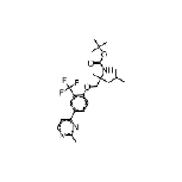 Cc1nccc(-c2ccc(OCC(C)(CC(C)C)NC(=O)OC(C)(C)C)c(C(F)(F)F)c2)n1